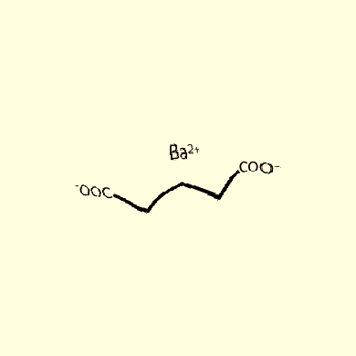 O=C([O-])CCCC(=O)[O-].[Ba+2]